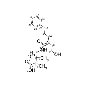 C[C@H](C(=O)O)C(C)(C)CNC(=O)N(CCO)CCCc1ccccc1